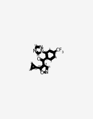 O=C(c1ccc(C(F)(F)F)cc1-n1cncn1)c1cnoc1C1CC1